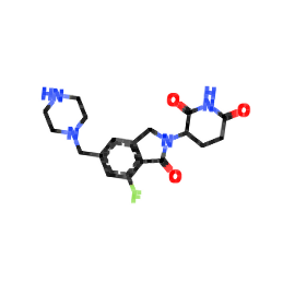 O=C1CCC(N2Cc3cc(CN4CCNCC4)cc(F)c3C2=O)C(=O)N1